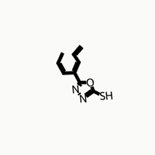 C=C/C=C(\C=C/C)c1nnc(S)o1